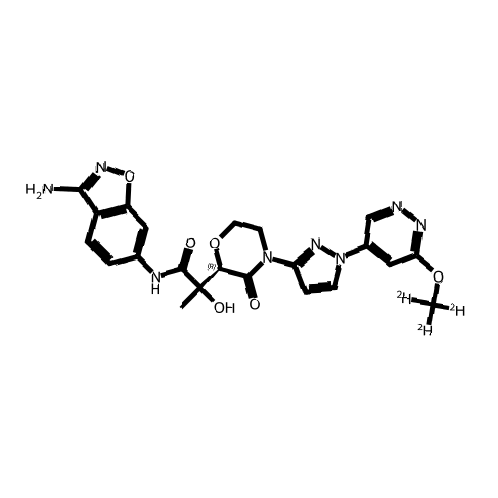 [2H]C([2H])([2H])Oc1cc(-n2ccc(N3CCO[C@H](C(C)(O)C(=O)Nc4ccc5c(N)noc5c4)C3=O)n2)cnn1